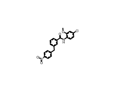 COc1cc(Cl)ccc1NC(=O)c1cccc(Cc2ccc([N+](=O)[O-])cc2)c1